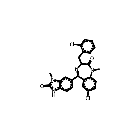 CN1C(=O)C(Cc2ccccc2Cl)N=C(c2ccc3[nH]c(=O)n(C)c3c2)c2cc(Cl)ccc21